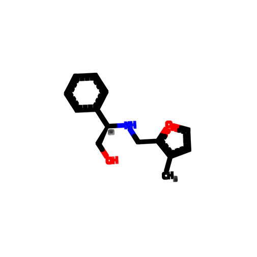 Cc1ccoc1CN[C@@H](CO)c1ccccc1